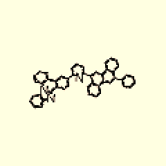 c1ccc(-c2cc3c4ccccc4c(-c4cccc(-c5ccc6c(c5)c5ccccc5n5c7ccccc7nc65)n4)cc3c3ccccc23)cc1